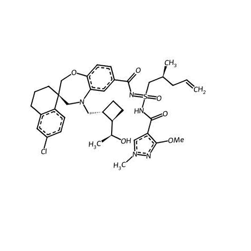 C=CC[C@H](C)CS(=O)(=NC(=O)c1ccc2c(c1)N(C[C@@H]1CC[C@H]1[C@H](C)O)C[C@@]1(CCCc3cc(Cl)ccc31)CO2)NC(=O)c1cn(C)nc1OC